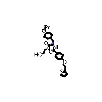 CC(C)Oc1ccc(/C=C(/NC(=O)c2ccc(OCCc3cccs3)cc2)C(=O)NCCO)cc1